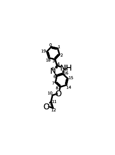 c1ccc(-c2nc3cc(OCC4CO4)ccc3[nH]2)cc1